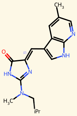 Cc1cnc2[nH]cc(/C=C3\N=C(N(C)CC(C)C)NC3=O)c2c1